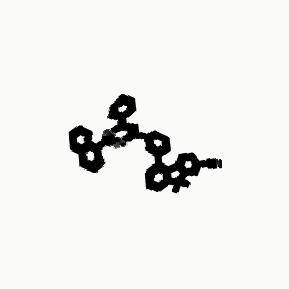 CC1(C)c2cc(C#N)ccc2-c2c(-c3cccc(-c4cc(-c5ccccc5)nc(-c5cccc6ccccc56)n4)c3)cccc21